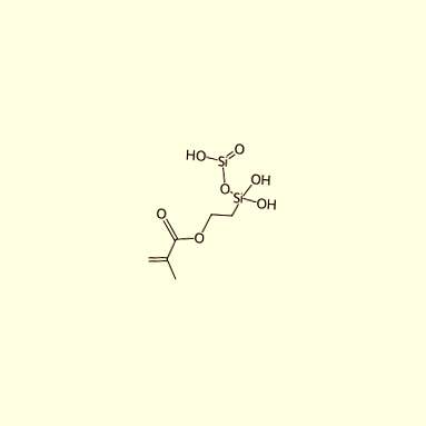 C=C(C)C(=O)OCC[Si](O)(O)O[Si](=O)O